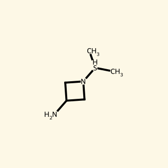 C[SH](C)N1CC(N)C1